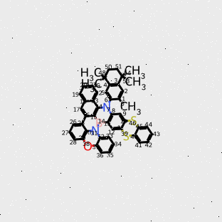 Cc1cc2c(cc1N1c3cc4c(cc3B3c5c(cc6ccccc6c51)-c1cccc5c1N3c1ccccc1O5)Sc1ccccc1S4)C(C)(C)CCC2(C)C